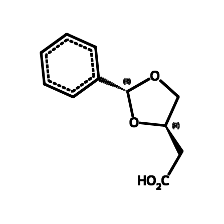 O=C(O)C[C@@H]1CO[C@@H](c2ccccc2)O1